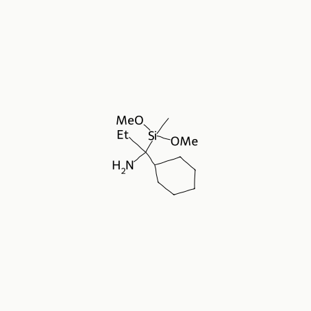 CCC(N)(C1CCCCC1)[Si](C)(OC)OC